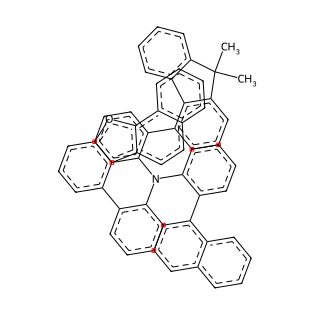 CC1(C)c2ccccc2-c2c(-c3ccccc3N(c3ccccc3-c3cccc4ccccc34)c3ccccc3-c3cccc4oc5c6ccccc6ccc5c34)cccc21